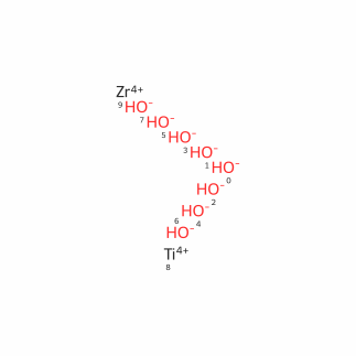 [OH-].[OH-].[OH-].[OH-].[OH-].[OH-].[OH-].[OH-].[Ti+4].[Zr+4]